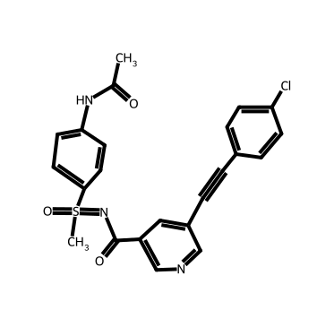 CC(=O)Nc1ccc(S(C)(=O)=NC(=O)c2cncc(C#Cc3ccc(Cl)cc3)c2)cc1